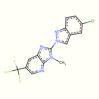 Cn1c(-n2cc3cc(Cl)ccc3n2)nc2cc(C(F)(F)F)cnc21